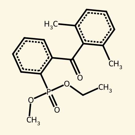 CCOP(=O)(OC)c1ccccc1C(=O)c1c(C)cccc1C